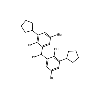 CC(C)C(c1cc(C(C)(C)C)cc(C2CCCC2)c1O)c1cc(C(C)(C)C)cc(C2CCCC2)c1O